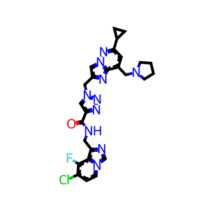 O=C(NCc1ncn2ccc(Cl)c(F)c12)c1cn(Cc2cn3nc(C4CC4)cc(CN4CCCC4)c3n2)nn1